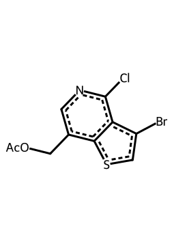 CC(=O)OCc1cnc(Cl)c2c(Br)csc12